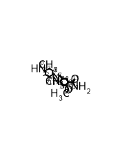 CNC1CC[C@H](n2cc3cc(C(N)=O)c(OC)cc3n2)[C@@H](C)C1